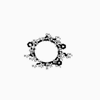 CCCN1CC(=O)N(C)[C@@H](CC(C)C)C(=O)N[C@H](C(=O)N2CCCCC2)CC(=O)N(C)[C@@H](C)C(=O)N[C@@H](CC(C)C)C(=O)N(C)[C@@H](CC(C)C)C(=O)N(C)[C@@H](Cc2ccccc2)C(=O)N[C@@H](COCC(C)(C)O)C(=O)N(C)[C@@H](Cc2ccccc2)C(=O)N(C)[C@@H]([C@@H](C)CC)C(=O)N[C@@H]([C@@H](C)O)C1=O